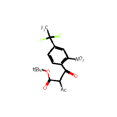 CC(=O)C(C(=O)OC(C)(C)C)C(=O)c1ccc(C(F)(F)C(F)(F)F)cc1[N+](=O)[O-]